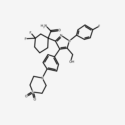 NC(=O)C1(c2nn(-c3ccc(F)cc3)c(CO)c2-c2ccc(N3CCS(=O)(=O)CC3)cc2)CCCC(F)(F)C1